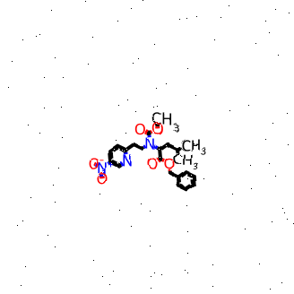 COC(=O)N(CCc1ccc([N+](=O)[O-])cn1)C(CC(C)C)C(=O)OCc1ccccc1